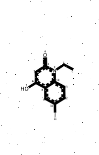 CCn1c(=O)cc(O)c2cc(I)ccc21